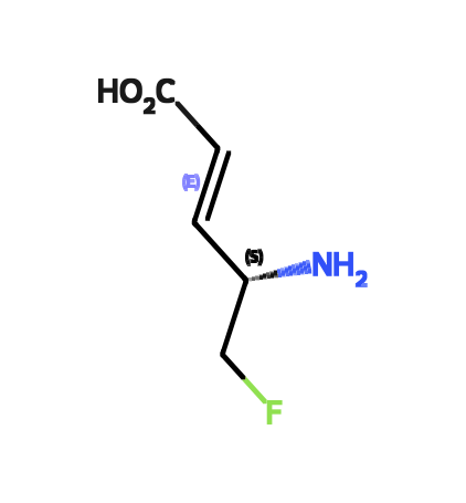 N[C@@H](/C=C/C(=O)O)CF